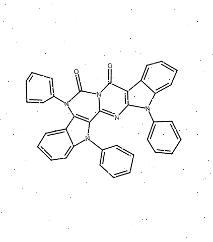 O=c1c2c3ccccc3n(-c3ccccc3)c2nc2c3c(c4ccccc4n3-c3ccccc3)n(-c3ccccc3)c(=O)n12